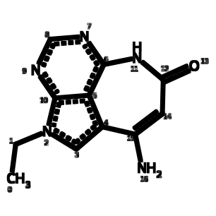 CCn1cc2c3c(ncnc31)NC(=O)C=C2N